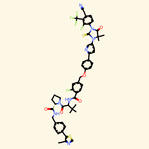 Cc1ncsc1-c1ccc(CNC(=O)[C@@H]2CCCN2C(=O)C(NC(=O)c2ccc(COc3ccc(-c4ccc(N5C(=S)N(c6ccc(C#N)c(C(F)(F)F)c6F)C(=O)C5(C)C)cn4)cc3)cc2F)C(C)(C)C)cc1